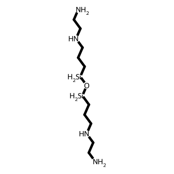 NCCNCCC[SiH2]O[SiH2]CCCNCCN